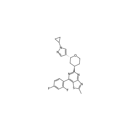 Cc1nc2nc([C@@H]3CCO[C@@H](c4cnn(C5CC5)c4)C3)nc(-c3ccc(F)cc3F)c2s1